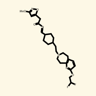 COc1cc(CC(=O)/N=C/C2CCC(CCN3CCc4ccc(OCC(F)F)nc4CC3)CC2)on1